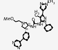 COCCN1C[C@@H](NC(=O)Nc2c(C)c(-c3cnn(C)c3)nn2-c2ccccc2)[C@H](c2cccc(-c3cncnc3)c2)C1